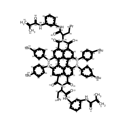 C=C(C)C(=O)Nc1cccc(NC(=O)C(CC(C)C)N2C(=O)c3cc(Oc4ccc(C(C)(C)C)cc4)c4c5c(Oc6ccc(C(C)(C)C)cc6)cc6c7c(cc(Oc8ccc(C(C)(C)C)cc8)c(c8c(Oc9ccc(C(C)(C)C)cc9)cc(c3c48)C2=O)c75)C(=O)N(C(CC(C)C)C(=O)Nc2cccc(NC(=O)C(=C)C)c2)C6=O)c1